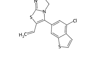 C=CC1=C(c2cc(Cl)c3ccsc3c2)N2CCN=C2S1